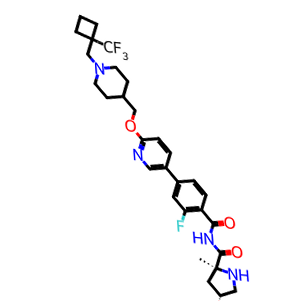 C[C@@]1(C(=O)NC(=O)c2ccc(-c3ccc(OCC4CCN(CC5(C(F)(F)F)CCC5)CC4)nc3)cc2F)C[C@@H](O)CN1